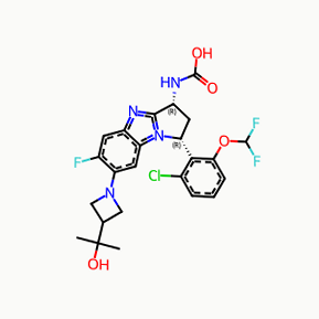 CC(C)(O)C1CN(c2cc3c(cc2F)nc2n3[C@@H](c3c(Cl)cccc3OC(F)F)C[C@H]2NC(=O)O)C1